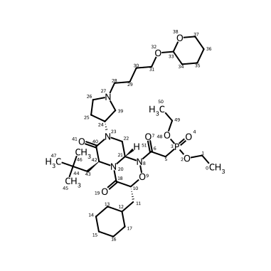 CCOP(=O)(CC(=O)N1O[C@H](CC2CCCCC2)C(=O)N2[C@@H]1CN([C@@H]1CCN(CCCCOC3CCCCO3)C1)C(=O)[C@@H]2CC(C)(C)C)OCC